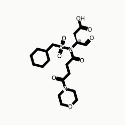 O=C[C@H](CC(=O)O)N(C(=O)CCC(=O)N1CCOCC1)S(=O)(=O)CC1CCCCC1